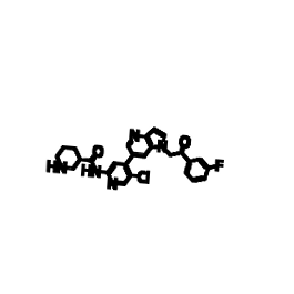 O=C(Cn1ccc2ncc(-c3cc(NC(=O)[C@@H]4CCCNC4)ncc3Cl)cc21)c1cccc(F)c1